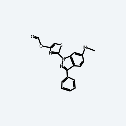 CNc1ccc2c(-c3ccccc3)nn(-c3nc(OC=O)cs3)c2c1